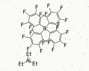 C[CH2][Al]([CH2]C)[CH2]C.Fc1c(F)c(F)c([B-](c2c(F)c(F)c(F)c(F)c2F)(c2c(F)c(F)c(F)c(F)c2F)c2c(F)c(F)c(F)c(F)c2F)c(F)c1F